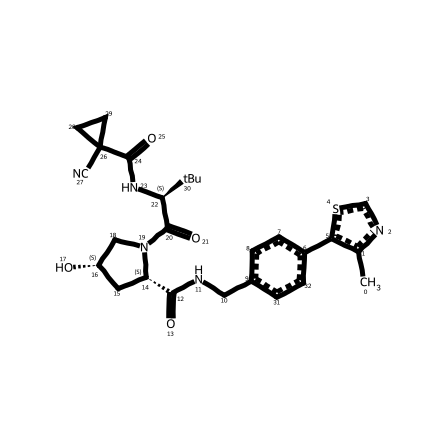 Cc1ncsc1-c1ccc(CNC(=O)[C@@H]2C[C@H](O)CN2C(=O)[C@@H](NC(=O)C2(C#N)CC2)C(C)(C)C)cc1